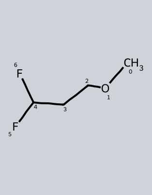 COCCC(F)F